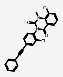 Cn1c(=O)n(-c2ccc(C#Cc3ccccc3)cc2Cl)c(=O)c2cccc(Cl)c21